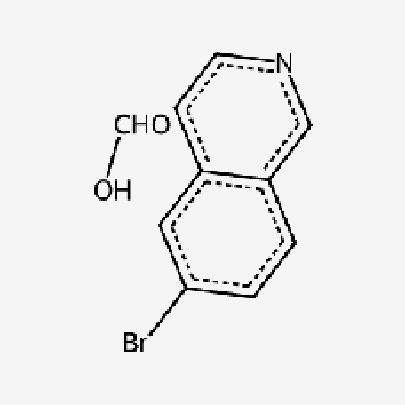 Brc1ccc2cnccc2c1.O=CO